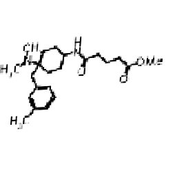 COC(=O)CCCC(=O)NC1CCC(Cc2cccc(C)c2)(N(C)C)CC1